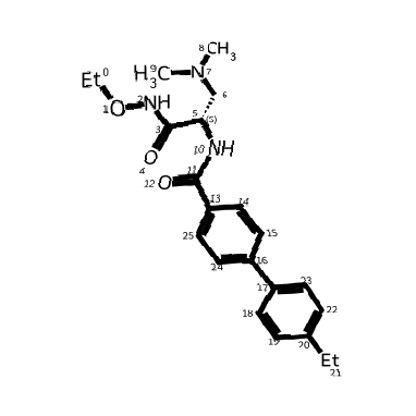 CCONC(=O)[C@H](CN(C)C)NC(=O)c1ccc(-c2ccc(CC)cc2)cc1